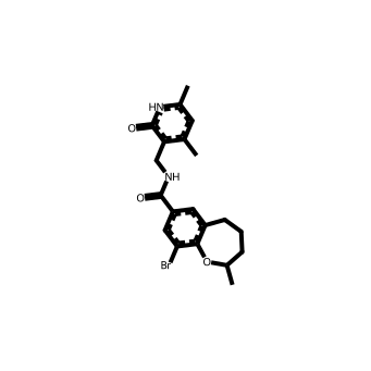 Cc1cc(C)c(CNC(=O)c2cc(Br)c3c(c2)CCCC(C)O3)c(=O)[nH]1